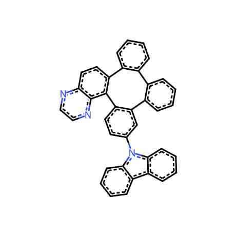 c1ccc2c(c1)-c1ccccc1-c1ccc3nccnc3c1-c1ccc(-n3c4ccccc4c4ccccc43)cc1-2